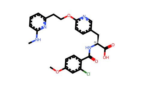 CNc1cccc(CCOc2ccc(C[C@H](NC(=O)c3ccc(OC)cc3Cl)C(=O)O)cn2)n1